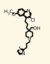 COc1ccc2ncc(Cl)c(CCCC3(CO)CCN(CCCc4nccs4)CC3)c2c1